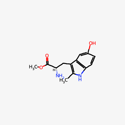 COC(=O)[C@@H](N)Cc1c(C)[nH]c2ccc(O)cc12